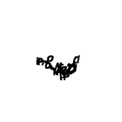 Cc1c(Cl)cccc1S(=O)(=O)Nc1nc(CCOC(=O)C(C)C)ns1